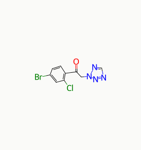 O=C(Cn1ncnn1)c1ccc(Br)cc1Cl